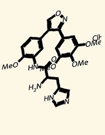 COc1ccc(-c2conc2-c2cc(OC)c(OC)c(OC)c2)cc1NC(=O)C(N)Cc1cnc[nH]1.Cl